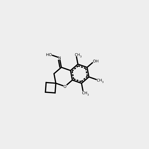 Cc1c(C)c2c(c(C)c1O)/C(=N/O)CC1(CCC1)O2